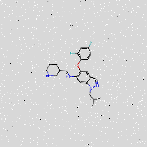 CC(C)Cn1ncc2cc(Oc3ccc(F)cc3F)c(NCC3CCCNC3)cc21